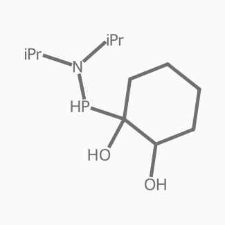 CC(C)N(PC1(O)CCCCC1O)C(C)C